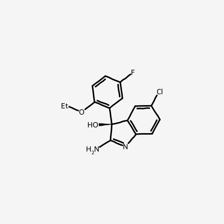 CCOc1ccc(F)cc1[C@@]1(O)C(N)=Nc2ccc(Cl)cc21